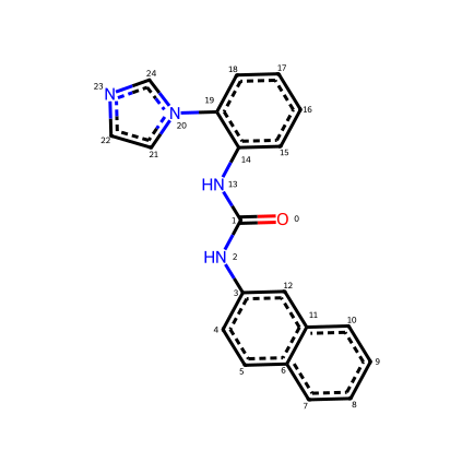 O=C(Nc1ccc2ccccc2c1)Nc1ccccc1-n1ccnc1